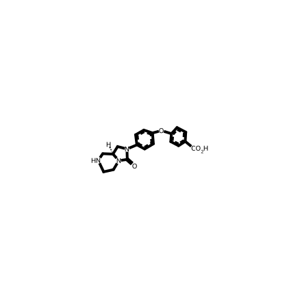 O=C(O)c1ccc(Oc2ccc(N3C[C@@H]4CNCCN4C3=O)cc2)cc1